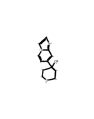 N#CC1(c2ccn3ccnc3c2)CCOCC1